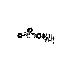 CC(C)(C)OC(=O)N1CCC(OCC[C@@H]2CCCCN2C(=O)OCc2ccccc2)CC1